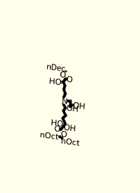 CCCCCCCCCCCOC(=O)C(O)CCCCN(CCCCCCC(O)(O)C(=O)OC(CCCCCCCC)CCCCCCCC)CC(O)O